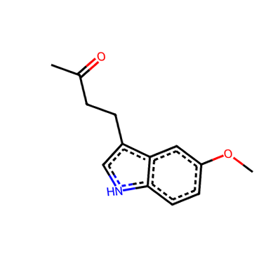 COc1ccc2[nH]cc(CCC(C)=O)c2c1